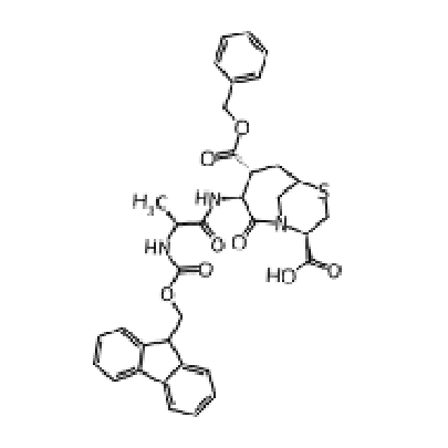 C[C@H](NC(=O)OCC1c2ccccc2-c2ccccc21)C(=O)N[C@@H]1C(=O)N2CC(C[C@H]1C(=O)OCc1ccccc1)SC[C@H]2C(=O)O